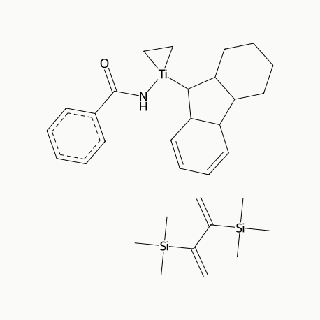 C=C(C(=C)[Si](C)(C)C)[Si](C)(C)C.O=C([NH][Ti]1([CH]2C3C=CC=CC3C3CCCCC32)[CH2][CH2]1)c1ccccc1